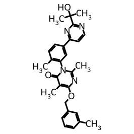 Cc1cccc(COc2nc(C)n(-c3cc(-c4ccnc(C(C)(C)O)n4)ccc3C)c(=O)c2C)c1